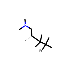 CC(C)C(C)(C)C(C)(C)[C@H](C)CN(C)C